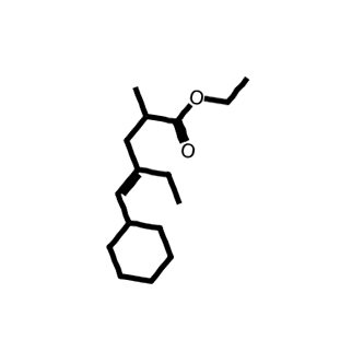 CCOC(=O)C(C)C/C(=C/C1CCCCC1)CC